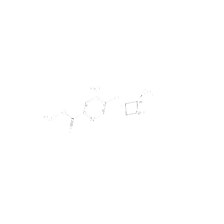 COC(=O)c1ccc(O[C@H]2CN[C@@H]2C)cn1.Cl